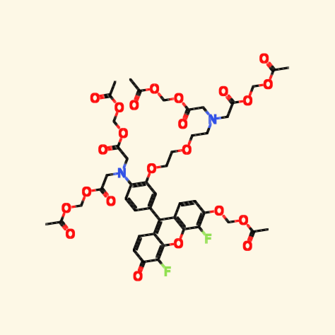 CC(=O)OCOC(=O)CN(CCOCCOc1cc(-c2c3ccc(=O)c(F)c-3oc3c(F)c(OCOC(C)=O)ccc23)ccc1N(CC(=O)OCOC(C)=O)CC(=O)OCOC(C)=O)CC(=O)OCOC(C)=O